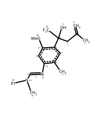 C=C(C)CC(O)(c1cc(C)c(/N=C/N(C)CC)cc1OC)C(F)(F)F